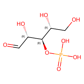 O=C[C@H](O)[C@H](OP(=O)(O)O)[C@H](O)CO